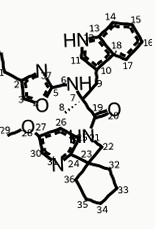 CCc1coc(N[C@@](C)(Cc2c[nH]c3ccccc23)C(=O)NCC2(c3ccc(OC)cn3)CCCCC2)n1